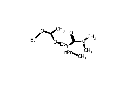 CC(C)C(=O)N(C)C.CCCC.CCOC(C)OCC